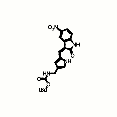 CC(C)(C)OC(=O)NCc1c[nH]c(C=C2C(=O)Nc3ccc([N+](=O)[O-])cc32)c1